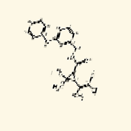 CC(=C(Cl)Cl)C1C(C(=O)OCc2cccc(Oc3ccccc3)c2)C1(C)C